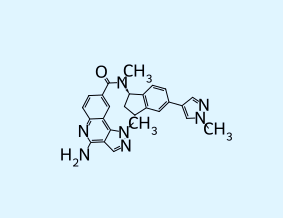 CN(C(=O)c1ccc2nc(N)c3cnn(C)c3c2c1)[C@@H]1CCc2cc(-c3cnn(C)c3)ccc21